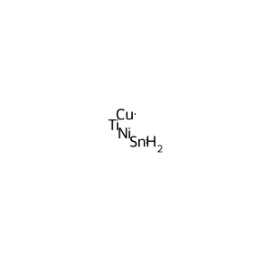 [Cu].[Ni].[SnH2].[Ti]